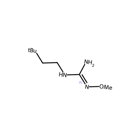 CO/N=C(\N)NCCC(C)(C)C